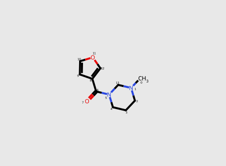 CN1CCCN(C(=O)c2ccoc2)C1